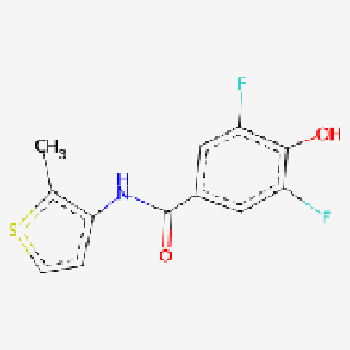 Cc1sccc1NC(=O)c1cc(F)c(O)c(F)c1